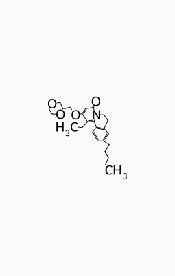 CCCCCc1ccc2c(c1)CCn1c-2c(CC)c(OC[C@@H]2COCCO2)cc1=O